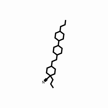 CCCC1CCC(C2CCC(CCC3CCC(C#N)(CCC)CC3)CC2)CC1